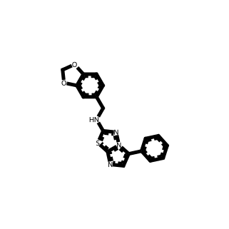 c1ccc(-c2cnc3sc(NCc4ccc5c(c4)OCO5)nn23)cc1